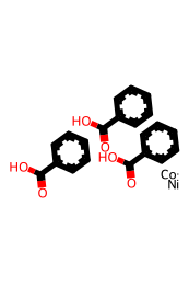 O=C(O)c1ccccc1.O=C(O)c1ccccc1.O=C(O)c1ccccc1.[Co].[Ni]